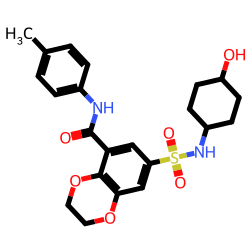 Cc1ccc(NC(=O)c2cc(S(=O)(=O)NC3CCC(O)CC3)cc3c2OCCO3)cc1